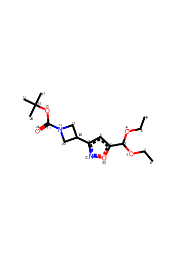 CCOC(OCC)c1cc(C2CN(C(=O)OC(C)(C)C)C2)no1